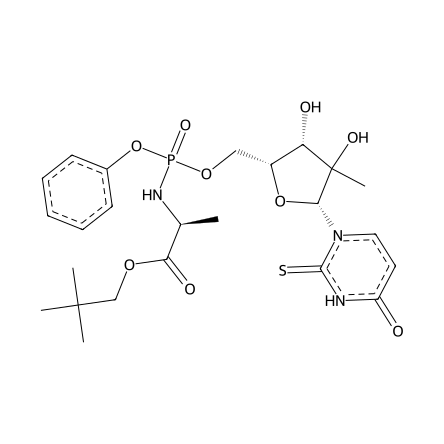 C[C@H](NP(=O)(OC[C@H]1O[C@@H](n2ccc(=O)[nH]c2=S)C(C)(O)[C@H]1O)Oc1ccccc1)C(=O)OCC(C)(C)C